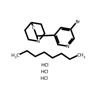 Brc1cncc(C2CC3CCN2CC3)c1.CCCCCCCC.Cl.Cl.Cl